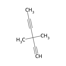 C#CC(C)(C)C#CC